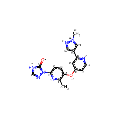 Cc1nc(-n2nc[nH]c2=O)ccc1Oc1ccnc(-c2cnn(C)c2)c1